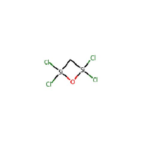 Cl[Si]1(Cl)C[Si](Cl)(Cl)O1